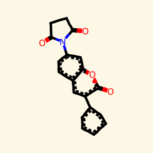 O=C1CCC(=O)N1c1ccc2cc(-c3ccccc3)c(=O)oc2c1